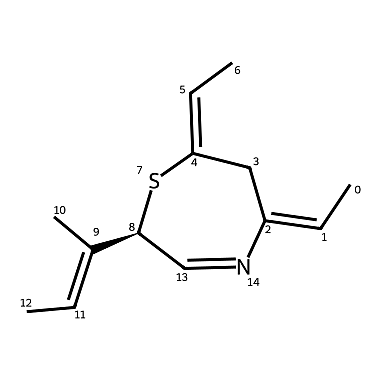 C/C=C1\C/C(=C\C)S[C@H](/C(C)=C/C)C=N1